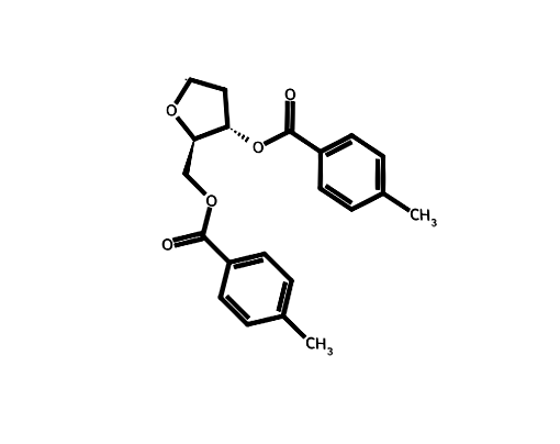 Cc1ccc(C(=O)OC[C@H]2O[CH]C[C@@H]2OC(=O)c2ccc(C)cc2)cc1